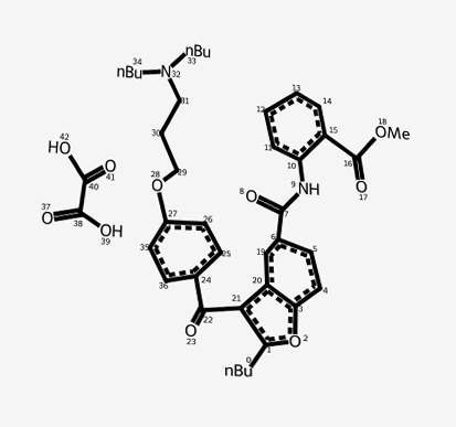 CCCCc1oc2ccc(C(=O)Nc3ccccc3C(=O)OC)cc2c1C(=O)c1ccc(OCCCN(CCCC)CCCC)cc1.O=C(O)C(=O)O